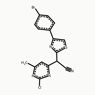 Cc1cc(C(C#N)c2nc(-c3ccc(Br)cc3)cs2)nc(Cl)n1